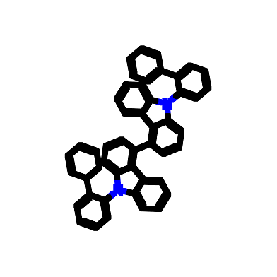 C1=CCC(c2ccccc2-n2c3ccccc3c3c(-c4cccc5c4c4ccccc4n5-c4ccccc4-c4ccccc4)cccc32)C=C1